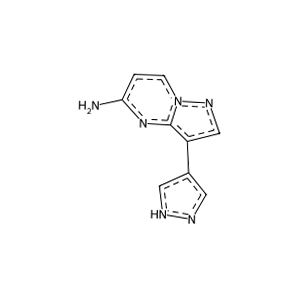 Nc1ccn2ncc(-c3cn[nH]c3)c2n1